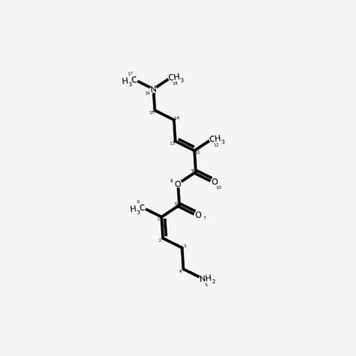 CC(=CCCN)C(=O)OC(=O)C(C)=CCCN(C)C